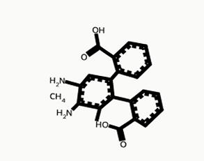 C.Cc1c(N)c(N)cc(-c2ccccc2C(=O)O)c1-c1ccccc1C(=O)O